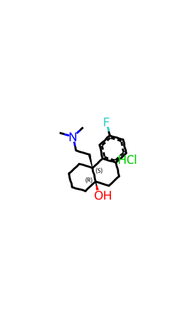 CN(C)CC[C@]12CCCC[C@@]1(O)CCc1ccc(F)cc12.Cl